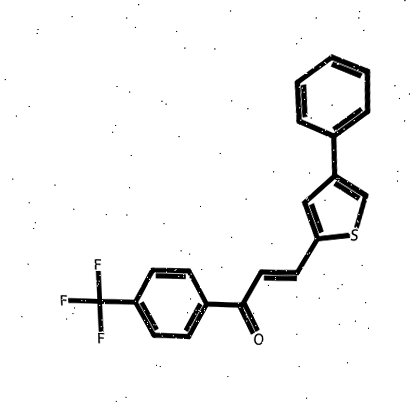 O=C(C=Cc1cc(-c2ccccc2)cs1)c1ccc(C(F)(F)F)cc1